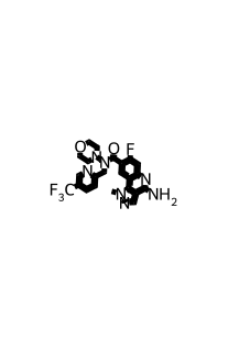 Cn1ncc2c(N)nc3cc(F)c(C(=O)N(Cc4ccc(C(F)(F)F)cn4)N4CCOCC4)cc3c21